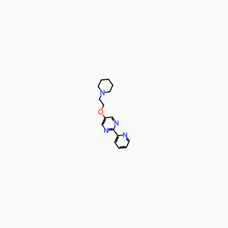 c1ccc(-c2ncc(OCCN3CCCCC3)cn2)nc1